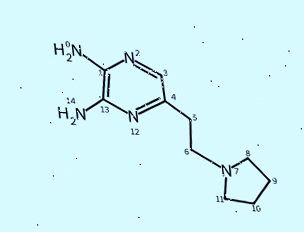 Nc1ncc(CCN2CCCC2)nc1N